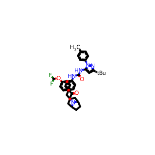 Cc1ccc(-n2nc(C(C)(C)C)cc2NC(=O)Nc2ccc(CC3CC4CCC(C3)N4CC(=O)c3ccc(OC(F)F)cc3)cc2)cc1